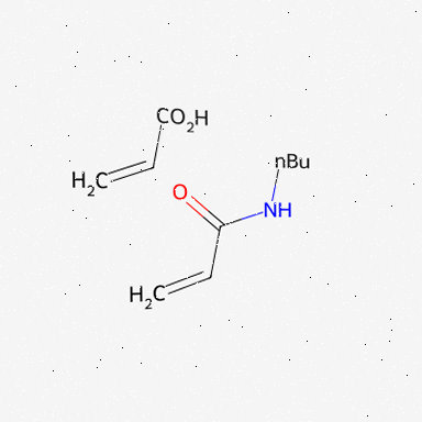 C=CC(=O)NCCCC.C=CC(=O)O